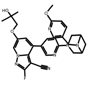 COc1ccc(CN2C3CC2CN(c2ccc(-c4cc(OCC(C)(C)O)cn5nc(F)c(C#N)c45)cn2)C3)cn1